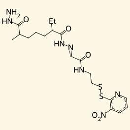 CCC(CCCC(C)C(=O)NN)C(=O)N/N=C/C(=O)NCCSSc1ncccc1[N+](=O)[O-]